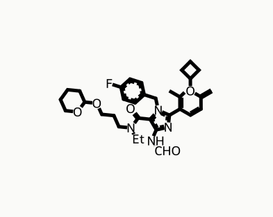 C=C(/C=C\C(=C(C)C)c1nc(NC=O)c(C(=O)N(CC)CCCOC2CCCCO2)n1Cc1ccc(F)cc1)OC1CCC1